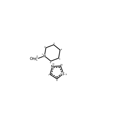 O=CN1CCCCC1.c1cscn1